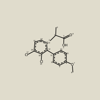 CC(C)C(=O)O.COc1ccc(-c2nccc(Cl)c2Cl)cc1